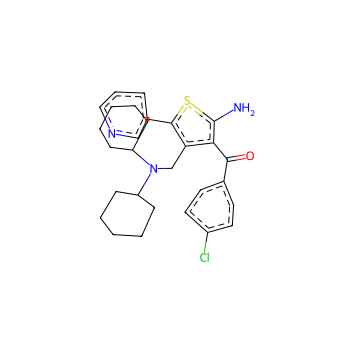 Nc1sc(-c2cccnc2)c(CN(C2CCCCC2)C2CCCCC2)c1C(=O)c1ccc(Cl)cc1